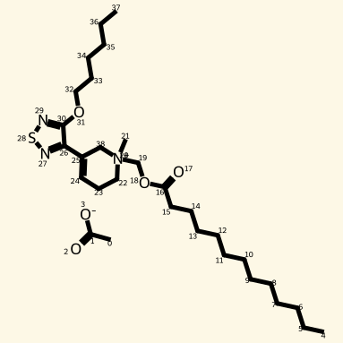 CC(=O)[O-].CCCCCCCCCCCCC(=O)OC[N+]1(C)CCC=C(c2nsnc2OCCCCCC)C1